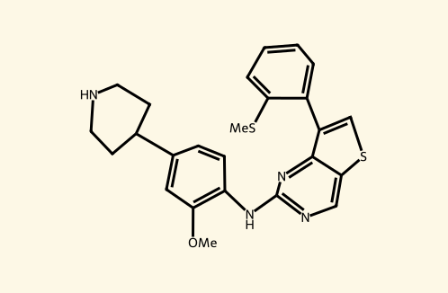 COc1cc(C2CCNCC2)ccc1Nc1ncc2scc(-c3ccccc3SC)c2n1